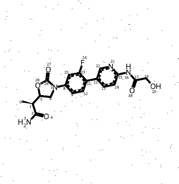 C[C@H](C(N)=O)C1CN(c2ccc(-c3ccc(NC(=O)CO)nc3)c(F)c2)C(=O)O1